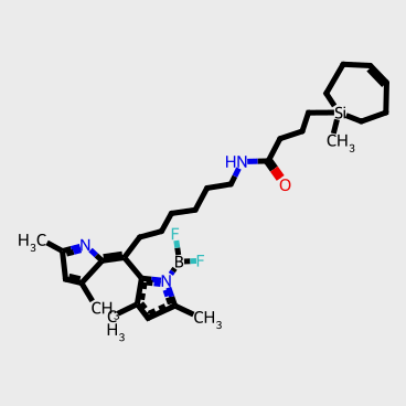 CC1=CC(C)=N/C1=C(\CCCCCCNC(=O)CCC[Si]1(C)CCC=CCC1)c1c(C)cc(C)n1B(F)F